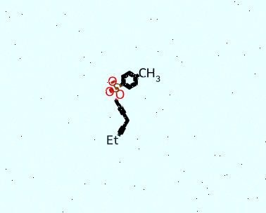 CCC#CCC#CCOS(=O)(=O)c1ccc(C)cc1